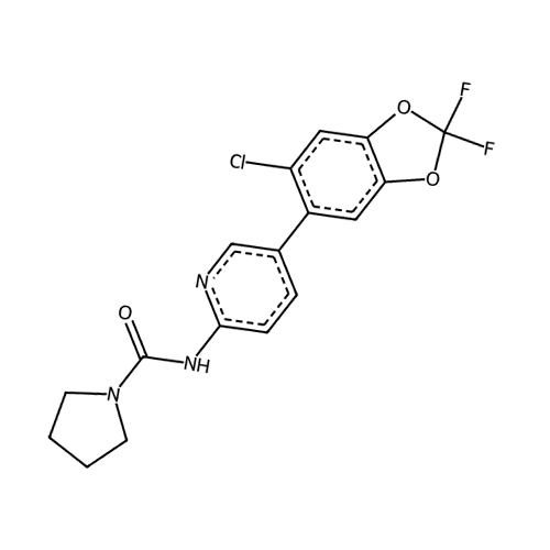 O=C(Nc1ccc(-c2cc3c(cc2Cl)OC(F)(F)O3)cn1)N1CCCC1